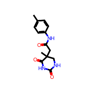 Cc1ccc(NC(=O)CC2(C)CNC(=O)NC2=O)cc1